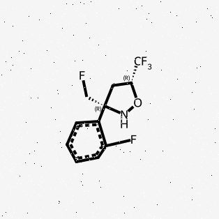 FC[C@]1(c2ccccc2F)C[C@H](C(F)(F)F)ON1